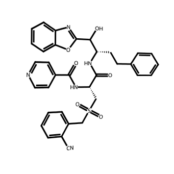 N#Cc1ccccc1CS(=O)(=O)C[C@H](NC(=O)c1ccncc1)C(=O)N[C@@H](CCc1ccccc1)C(O)c1nc2ccccc2o1